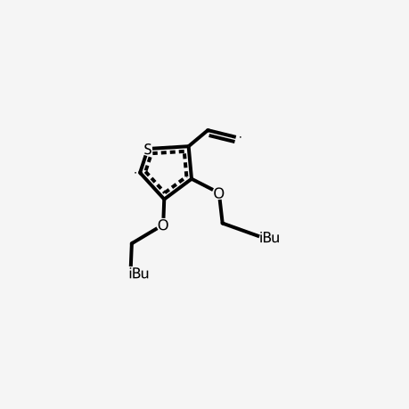 [CH]=Cc1s[c]c(OCC(C)CC)c1OCC(C)CC